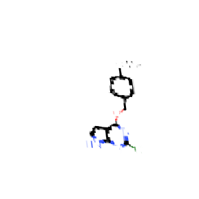 COc1ccc(COc2nc(Cl)nc3[nH]ccc23)cc1